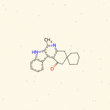 Cc1nc2c(c3c1[nH]c1ccccc13)C(=O)CC1(CCCCC1)C2